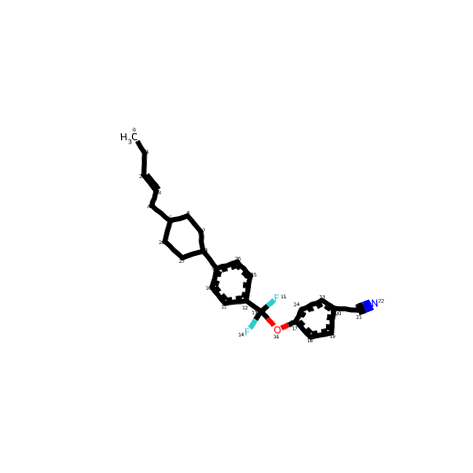 CCC=CCC1CCC(c2ccc(C(F)(F)Oc3ccc(C#N)cc3)cc2)CC1